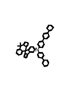 CC1(C)c2ccccc2C2(c3ccccc3-c3cc(N(c4ccc(-c5ccccc5)cc4)c4ccc(-c5ccc(-c6ccccc6)cc5)cc4)ccc32)c2ccccc21